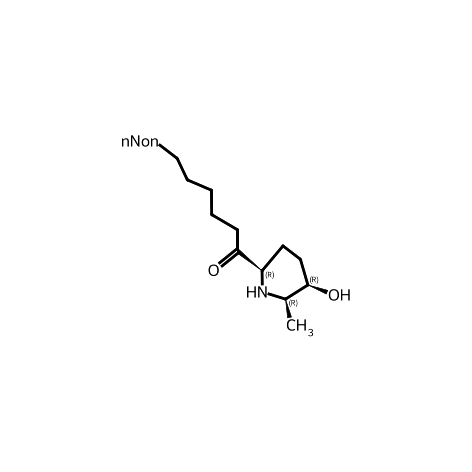 CCCCCCCCCCCCCCC(=O)[C@H]1CC[C@@H](O)[C@@H](C)N1